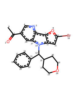 CC(=O)c1cnc2c3oc(Br)cc3n(C(c3ccccc3)C3CCOCC3)c2c1